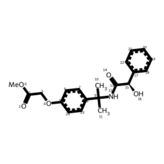 COC(=O)COc1ccc(C(C)(C)NC(=O)[C@H](O)c2ccccc2)cc1